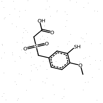 COc1ccc(CS(=O)(=O)CC(=O)O)cc1S